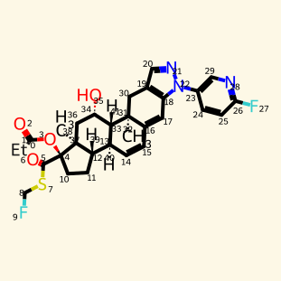 CCC(=O)O[C@]1(C(=O)SCF)CC[C@H]2[C@@H]3C=CC4=Cc5c(cnn5-c5ccc(F)nc5)C[C@]4(C)[C@H]3[C@@H](O)C[C@@]21C